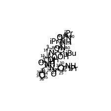 CC[C@H](C)[C@@H]([C@H](O)CC(=O)N1CCC[C@H]1[C@H](O)[C@@H](C)C(=O)N[C@H](CNC(=O)c1ccc(NC(C)C)cc1)Cc1ccccc1)N(C)C(=O)[C@@H](NC(=O)[C@H](C(C)C)N(C)C)C(C)C